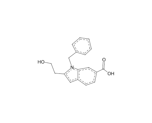 O=C(O)c1ccc2cc(CCO)n(Cc3ccccc3)c2c1